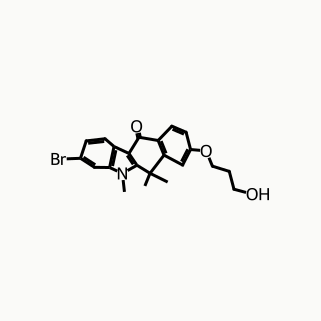 Cn1c2c(c3ccc(Br)cc31)C(=O)c1ccc(OCCCO)cc1C2(C)C